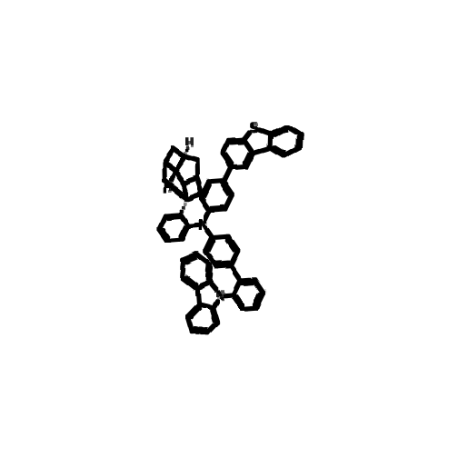 c1ccc(-n2c3ccccc3c3ccccc32)c(-c2ccc(N(c3ccc(-c4ccc5sc6ccccc6c5c4)cc3)c3ccccc3[C@]34CC5C[C@@H]6CC(C3)[C@H]6C54)cc2)c1